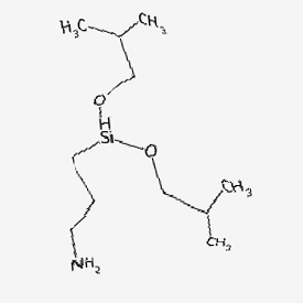 CC(C)CO[SiH](CCCN)OCC(C)C